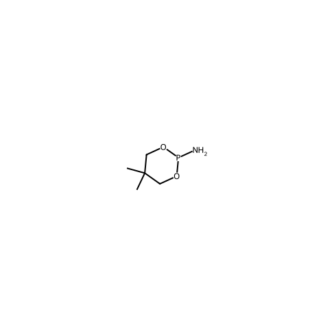 CC1(C)COP(N)OC1